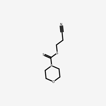 N#CCCSC(=S)N1CCOCC1